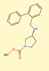 CC(C)(C)OC(=O)N1CC[C@H](NCc2ccccc2-c2ccccc2)C1